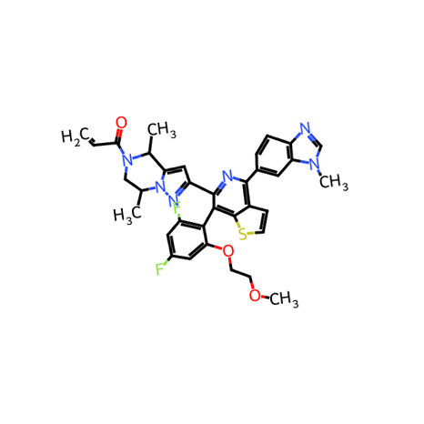 C=CC(=O)N1CC(C)n2nc(-c3nc(-c4ccc5ncn(C)c5c4)c4ccsc4c3-c3c(F)cc(F)cc3OCCOC)cc2C1C